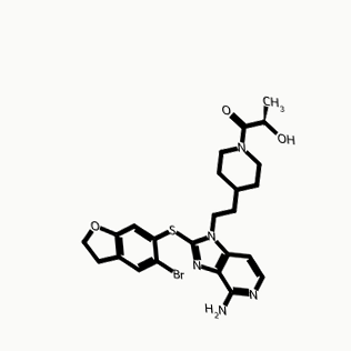 C[C@@H](O)C(=O)N1CCC(CCn2c(Sc3cc4c(cc3Br)CCO4)nc3c(N)nccc32)CC1